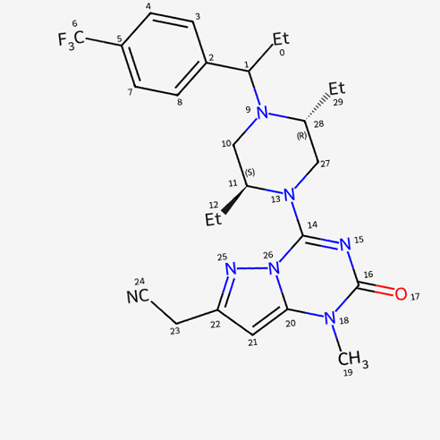 CCC(c1ccc(C(F)(F)F)cc1)N1C[C@H](CC)N(c2nc(=O)n(C)c3cc(CC#N)nn23)C[C@H]1CC